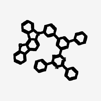 c1ccc(-c2cc(-c3cccc(-n4c5ccccc5c5c6oc7ccccc7c6ccc54)c3)cc(-c3nc(-c4ccccc4)nc(-c4ccccc4)n3)c2)cc1